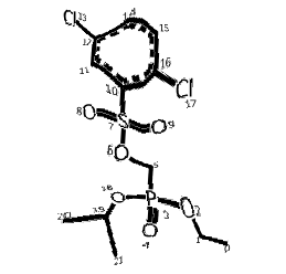 CCOP(=O)(COS(=O)(=O)c1cc(Cl)ccc1Cl)OC(C)C